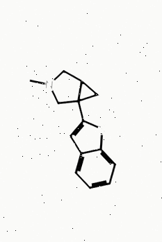 CN1CC2CC2(c2cc3ccccc3s2)C1